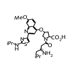 COc1ccc2c(OC3CC(C(=O)O)N(C(=O)C[C@@H](N)CC(C)C)C3)cc(-c3csc(NC(C)C)n3)nc2c1